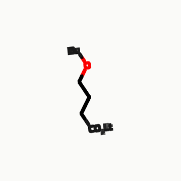 CCOC(=O)CCCOC(C)CC